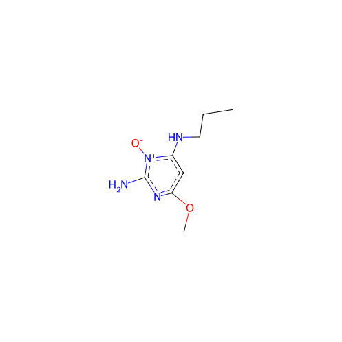 CCCNc1cc(OC)nc(N)[n+]1[O-]